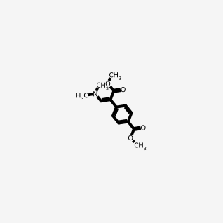 COC(=O)/C(=C\N(C)C)c1ccc(C(=O)OC)cc1